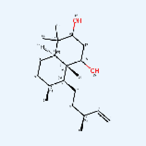 C=C[C@@H](C)CC[C@H]1[C@@H](C)CC[C@H]2C(C)(C)C(O)CC(O)[C@]12C